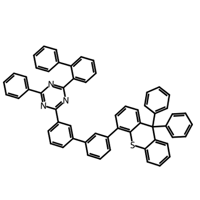 c1ccc(-c2nc(-c3cccc(-c4cccc(-c5cccc6c5Sc5ccccc5C6(c5ccccc5)c5ccccc5)c4)c3)nc(-c3ccccc3-c3ccccc3)n2)cc1